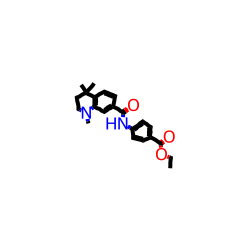 CCOC(=O)c1ccc(NC(=O)c2ccc3c(c2)N(C)CCC3(C)C)cc1